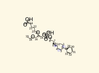 C\C=C(/C=C\C=N\CCOP(=O)(O)OCC(COCC)OCCCCC(=O)O)c1ccccc1